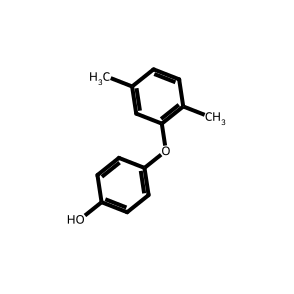 Cc1ccc(C)c(Oc2ccc(O)cc2)c1